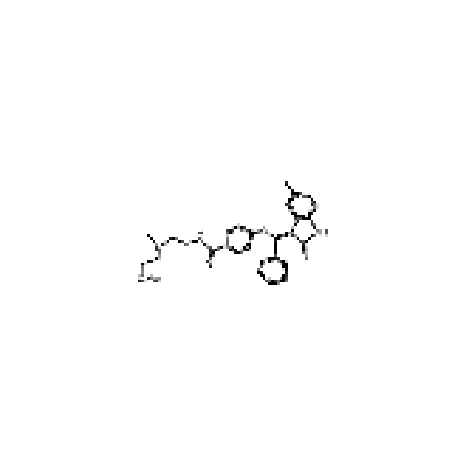 COCCN(C)CCNC(=O)c1ccc(NC(=C2C(=O)Nc3ccc(C)cc32)c2ccccc2)cc1